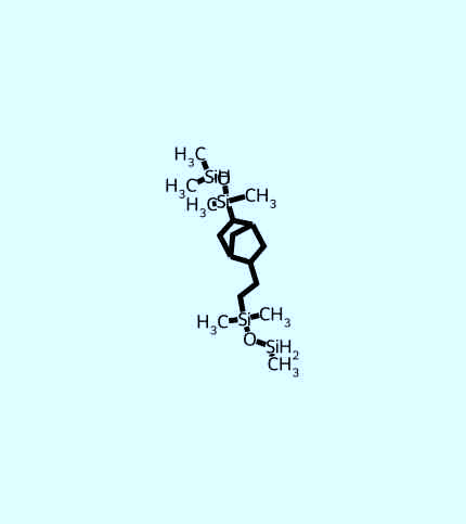 C[SiH2]O[Si](C)(C)CCC1CC2CC1CC2[Si](C)(C)O[SiH](C)C